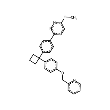 COc1ccc(-c2ccc(C3(c4ccc(OCc5ccccn5)cc4)CCC3)cc2)nn1